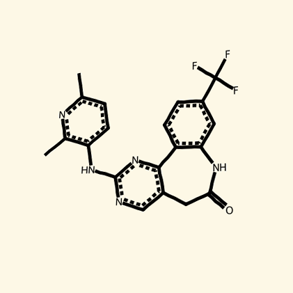 Cc1ccc(Nc2ncc3c(n2)-c2ccc(C(F)(F)F)cc2NC(=O)C3)c(C)n1